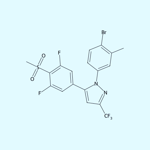 Cc1cc(-n2nc(C(F)(F)F)cc2-c2cc(F)c(S(C)(=O)=O)c(F)c2)ccc1Br